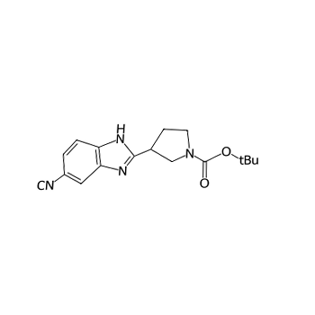 [C-]#[N+]c1ccc2[nH]c(C3CCN(C(=O)OC(C)(C)C)C3)nc2c1